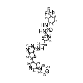 O=C(Nc1cccc(C(F)(F)F)c1)Nc1ncc(CCNc2ncnc3cc(-c4cncc(N5CCOCC5)c4)sc23)s1